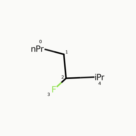 CCCCC(F)C(C)C